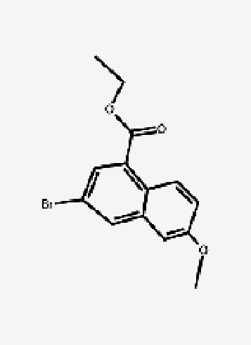 CCOC(=O)c1cc(Br)cc2cc(OC)ccc12